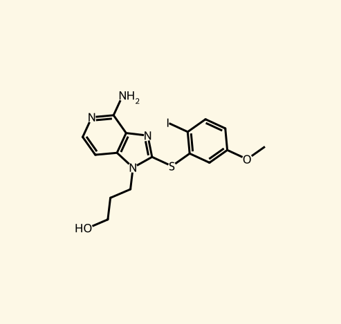 COc1ccc(I)c(Sc2nc3c(N)nccc3n2CCCO)c1